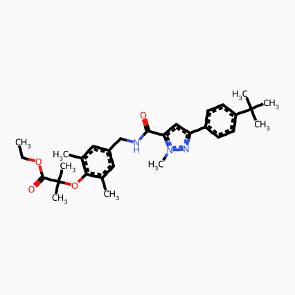 CCOC(=O)C(C)(C)Oc1c(C)cc(CNC(=O)c2cc(-c3ccc(C(C)(C)C)cc3)nn2C)cc1C